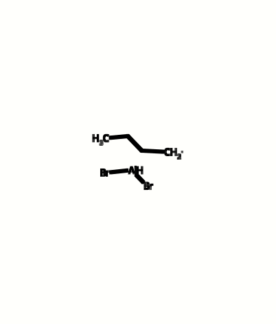 [Br][AlH][Br].[CH2]CCC